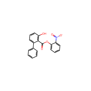 O=C(Oc1ccccc1[N+](=O)[O-])c1c(O)cccc1-c1ccccc1